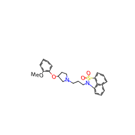 COc1ccccc1OC1CCN(CCCN2c3cccc4cccc(c34)S2(=O)=O)C1